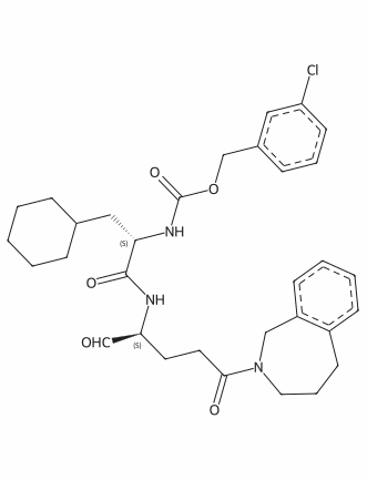 O=C[C@H](CCC(=O)N1CCCc2ccccc2C1)NC(=O)[C@H](CC1CCCCC1)NC(=O)OCc1cccc(Cl)c1